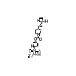 CC(C)C1NC(=S)N(c2ccc(OC(=O)N3CCC(CSc4ncc[nH]4)CC3)cn2)C1=O